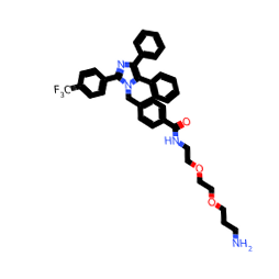 NCCCOCCOCCNC(=O)c1ccc(Cn2c(-c3ccc(C(F)(F)F)cc3)nc(-c3ccccc3)c2-c2ccccc2)cc1